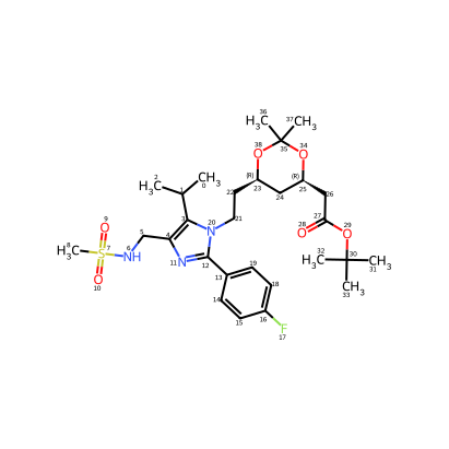 CC(C)c1c(CNS(C)(=O)=O)nc(-c2ccc(F)cc2)n1CC[C@@H]1C[C@H](CC(=O)OC(C)(C)C)OC(C)(C)O1